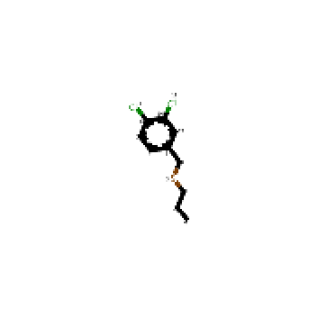 CCCSCc1ccc(Cl)c(Cl)c1